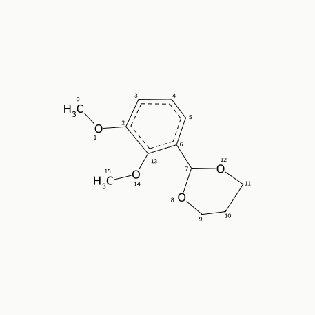 COc1cccc(C2OCCCO2)c1OC